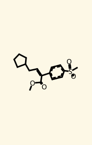 COC(=O)C(=CCC1CCCC1)c1ccc(S(C)(=O)=O)cc1